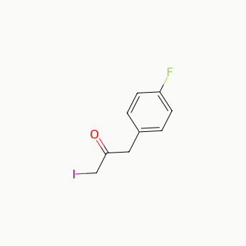 O=C(CI)Cc1ccc(F)cc1